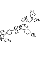 C=C(C)Cn1nccc1C(=O)N[C@H](C(=O)Nc1ccc(-c2c(C)n[nH]c2C)cc1)C1CCC(C)CC1